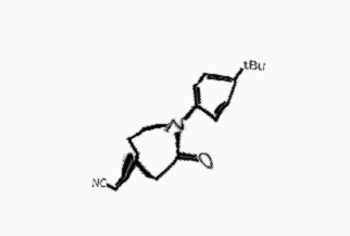 CC(C)(C)c1ccc(N2CCC(=CC#N)CC2=O)cc1